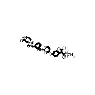 CNC(=O)c1c(C)oc2cc(Oc3ccnc(Nc4cccc(CS(=O)(=O)N5CCNC(=O)C5)c4)n3)ccc12